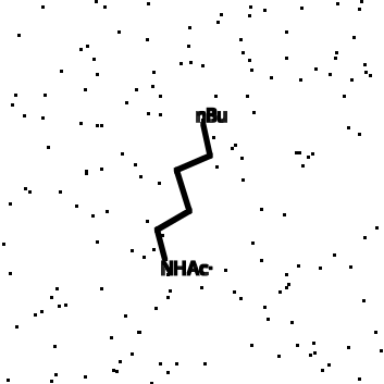 CCCCCCCC[N]C(C)=O